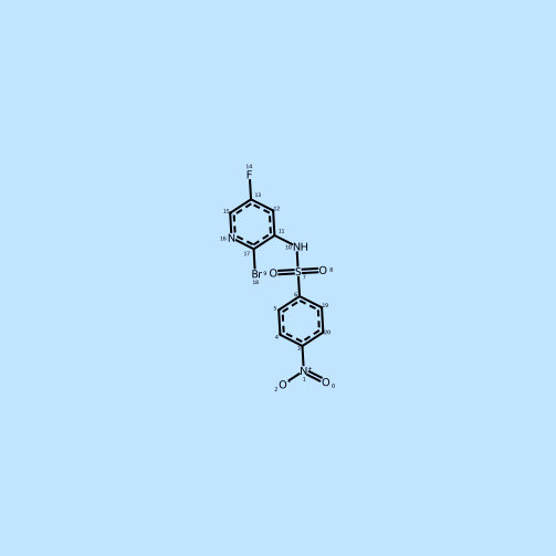 O=[N+]([O-])c1ccc(S(=O)(=O)Nc2cc(F)cnc2Br)cc1